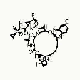 C[C@@H]1[C@@H]2CN(C(=O)[C@H](C(C)(C)C)NC(=O)O[C@@H]3C[C@@H]4CC[C@@H]4[C@H]3CCCCCc3nc4ccc(Cl)cc4nc3O2)[C@@H]1C(=O)N[C@]1(C(=O)NS(=O)(=O)C2CC2)C[C@H]1C(F)F